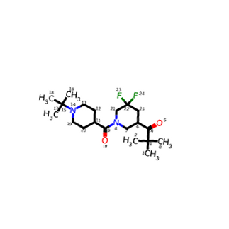 CC(C)(C)C(=O)C1CN(C(=O)C2CCN(C(C)(C)C)CC2)CC(F)(F)C1